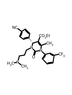 CCOC(=O)C1=C(C)N(c2cccc(C(F)(F)F)c2)C(=O)N(CCCN(C)C)[C@@H]1c1ccc(C#N)cc1